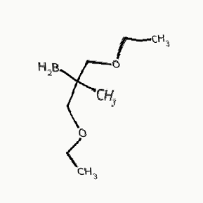 BC(C)(COCC)COCC